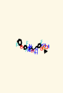 Nc1c(C(=O)c2cc3cc(F)c(NS(=O)(=O)C4CC4)cc3[nH]2)cnn1-c1c(F)cc(Oc2ccccc2F)cc1F